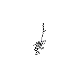 CCCCCCCC(=O)CCCCCC/C=C/[C@H](C(=O)N[C@@H](Cc1ccc(-c2cncnc2)cc1)C(=O)O)[C@@](O)(CC(=O)O)C(=O)O